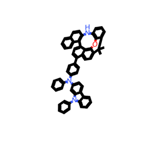 CC1(C)c2cccc3c2Oc2c1ccc1c(-c4ccc(N(c5ccccc5)c5ccc6c7ccccc7n(-c7ccccc7)c6c5)cc4)ccc(c21)-c1c(ccc2ccccc12)N3